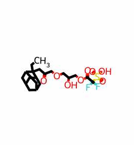 CCC1(CC(=O)COCC(O)COC(=O)C(F)(F)S(=O)(=O)O)C2CC3CC(C2)CC1C3